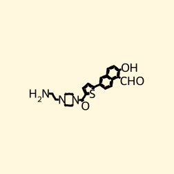 NCCN1CCN(C(=O)c2ccc(-c3ccc4c(C=O)c(O)ccc4c3)s2)CC1